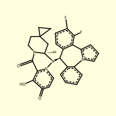 O=C1c2c(O)c(=O)ccn2N([C@@H]2c3ccccc3-n3cccc3-c3c2ccc(F)c3F)[C@@H]2CC3(CCN12)CC3